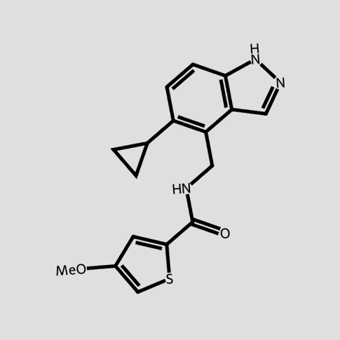 COc1csc(C(=O)NCc2c(C3CC3)ccc3[nH]ncc23)c1